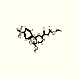 CCOC(=O)CC(=O)C1CCN(C(=O)OC)C(c2ccc(S(C)(=O)=O)cc2)C1